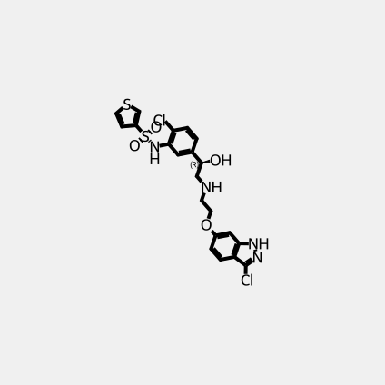 O=S(=O)(Nc1cc([C@@H](O)CNCCOc2ccc3c(Cl)n[nH]c3c2)ccc1Cl)c1ccsc1